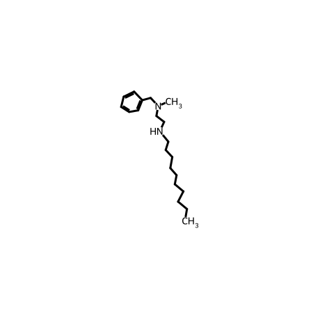 CCCCCCCCCCNCCN(C)Cc1ccccc1